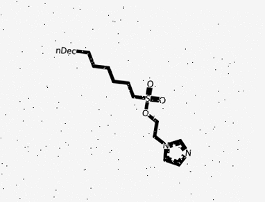 CCCCCCCCCCCCCCCCS(=O)(=O)OCCn1ccnc1